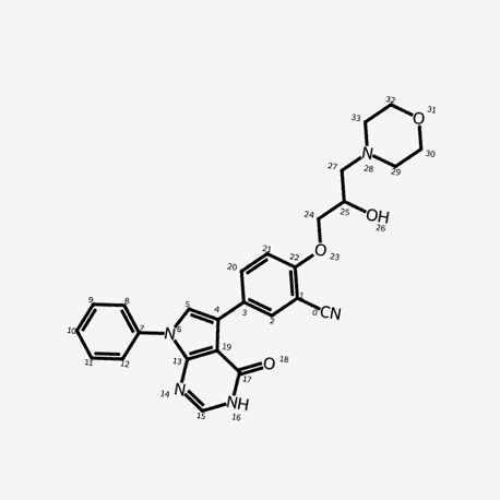 N#Cc1cc(-c2cn(-c3ccccc3)c3nc[nH]c(=O)c23)ccc1OCC(O)CN1CCOCC1